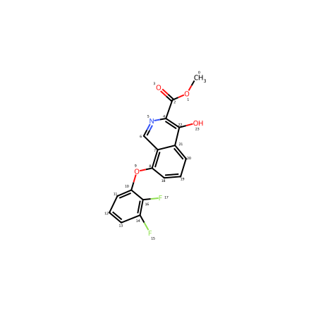 COC(=O)c1ncc2c(Oc3cccc(F)c3F)cccc2c1O